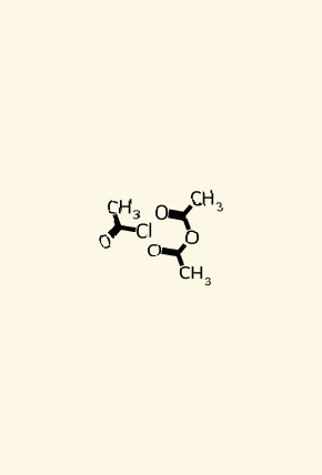 CC(=O)Cl.CC(=O)OC(C)=O